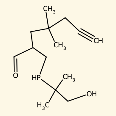 C#CCC(C)(C)CC(C=O)CPC(C)(C)CO